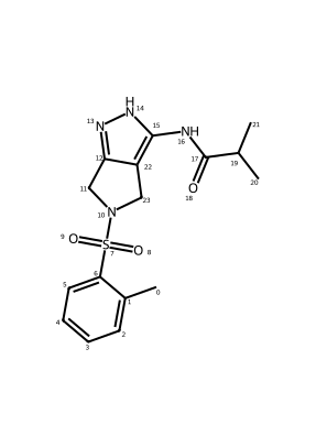 Cc1ccccc1S(=O)(=O)N1Cc2n[nH]c(NC(=O)C(C)C)c2C1